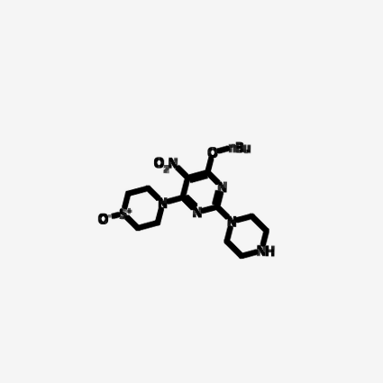 CCCCOc1nc(N2CCNCC2)nc(N2CC[S+]([O-])CC2)c1[N+](=O)[O-]